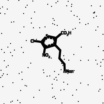 CCCCCCCCCCCCc1c(C(=O)O)sc(Cl)c1[N+](=O)[O-]